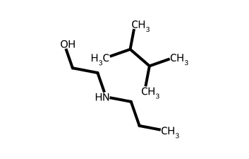 CC(C)C(C)C.CCCNCCO